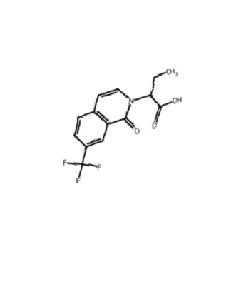 CCC(C(=O)O)n1ccc2ccc(C(F)(F)F)cc2c1=O